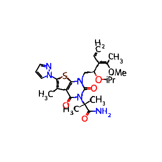 C=C/C(=C(\C)OC)[C@H](Cn1c(=O)n(C(C)(C)C(N)=O)c(=O)c2c(C)c(-n3cccn3)sc21)OC(C)C